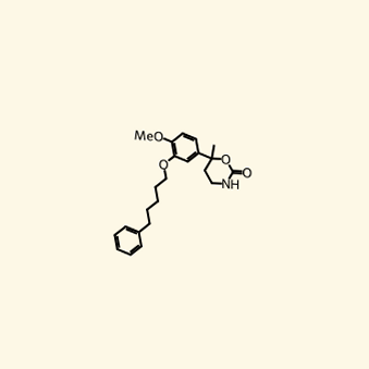 COc1ccc(C2(C)CCNC(=O)O2)cc1OCCCCCc1ccccc1